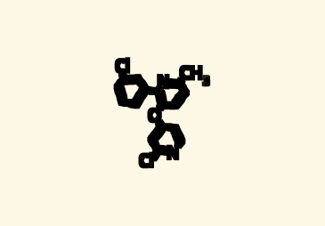 Cc1ccc(Oc2ccnc(Cl)c2)c(-c2cccc(Cl)c2)n1